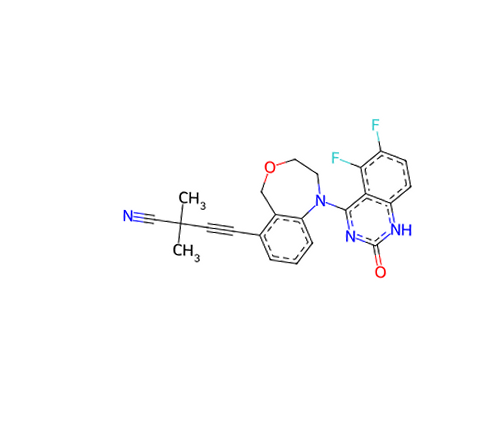 CC(C)(C#N)C#Cc1cccc2c1COCCN2c1nc(=O)[nH]c2ccc(F)c(F)c12